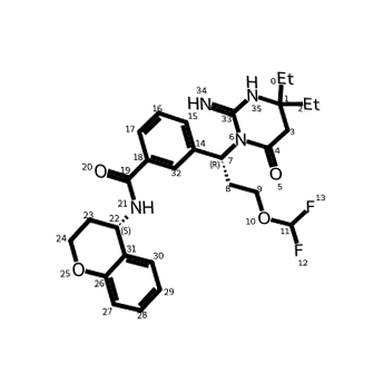 CCC1(CC)CC(=O)N([C@H](CCOC(F)F)c2cccc(C(=O)N[C@H]3CCOc4ccccc43)c2)C(=N)N1